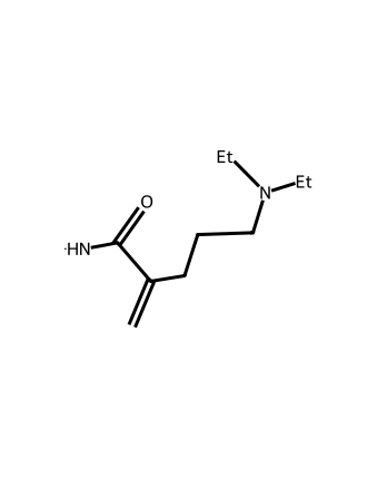 C=C(CCCN(CC)CC)C([NH])=O